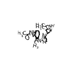 CC(=O)NCc1cccc(Nc2nccc(-c3cnc4c(c3)C(C)(C)CN4)n2)c1C